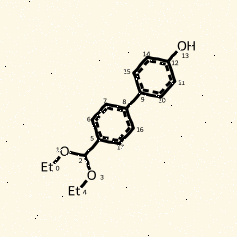 CCOC(OCC)c1ccc(-c2ccc(O)cc2)cc1